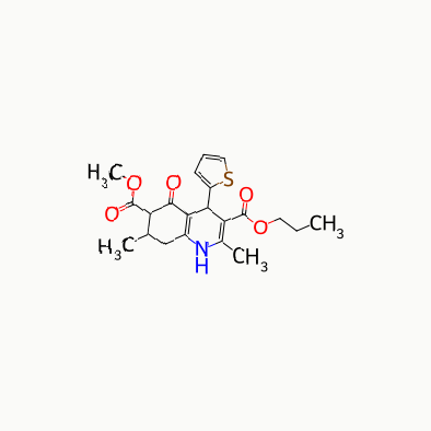 CCCOC(=O)C1=C(C)NC2=C(C(=O)C(C(=O)OC)C(C)C2)C1c1cccs1